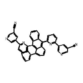 N#Cc1cncc(-c2cccc(-c3c4ccccc4c(-c4cccc(-c5cncc(C#N)c5)n4)c4c(-c5ccccc5)cccc34)n2)c1